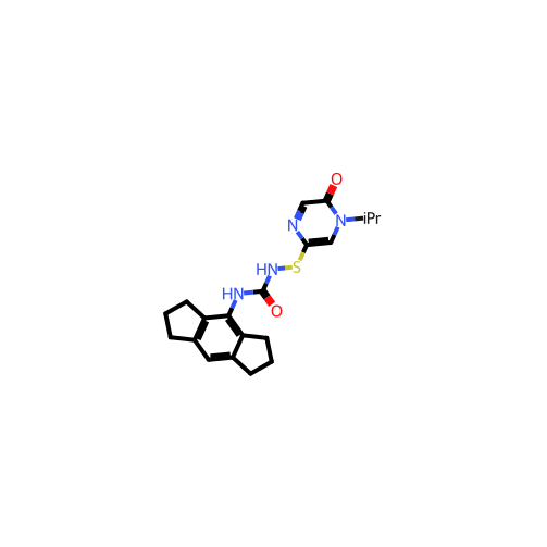 CC(C)n1cc(SNC(=O)Nc2c3c(cc4c2CCC4)CCC3)ncc1=O